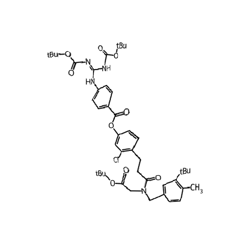 Cc1ccc(CN(CC(=O)OC(C)(C)C)C(=O)CCc2ccc(OC(=O)c3ccc(N/C(=N\C(=O)OC(C)(C)C)NC(=O)OC(C)(C)C)cc3)cc2Cl)cc1C(C)(C)C